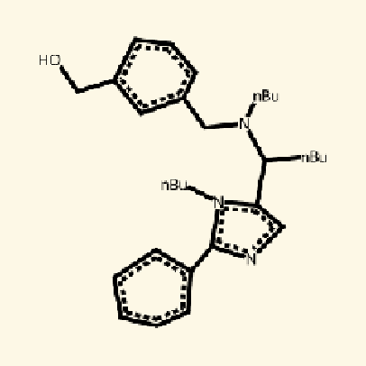 CCCCC(c1cnc(-c2ccccc2)n1CCCC)N(CCCC)Cc1cccc(CO)c1